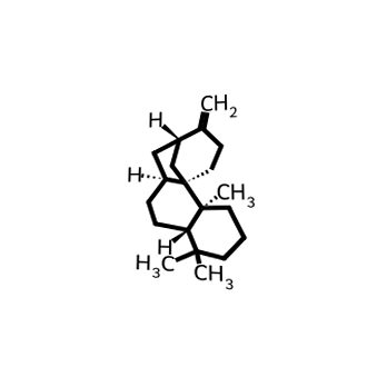 C=C1CC[C@@]23C[C@@H]1C[C@@H]2CC[C@H]1C(C)(C)CCC[C@@]13C